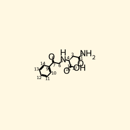 NC(=O)C[C@H](NCC(=O)c1ccccc1)C(=O)O